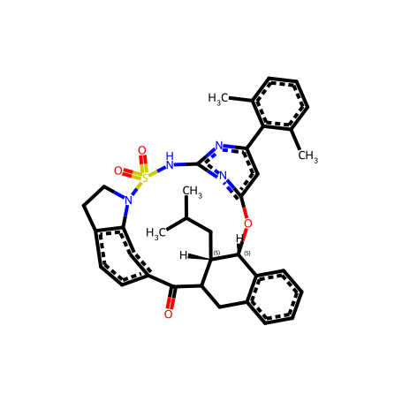 Cc1cccc(C)c1-c1cc2nc(n1)NS(=O)(=O)N1CCc3ccc(cc31)C(=O)C1Cc3ccccc3[C@@H](O2)[C@H]1CC(C)C